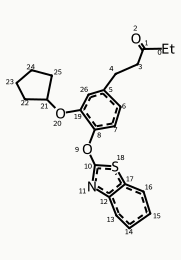 CCC(=O)CCc1ccc(Oc2nc3ccccc3s2)c(OC2CCCC2)c1